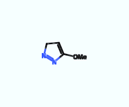 COC1=CCN=N1